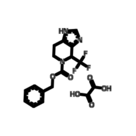 O=C(O)C(=O)O.O=C(OCc1ccccc1)N1CCc2[nH]cnc2C1C(F)(F)F